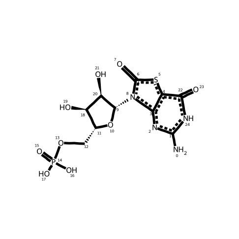 Nc1nc2c(sc(=O)n2[C@@H]2O[C@H](COP(=O)(O)O)[C@@H](O)[C@H]2O)c(=O)[nH]1